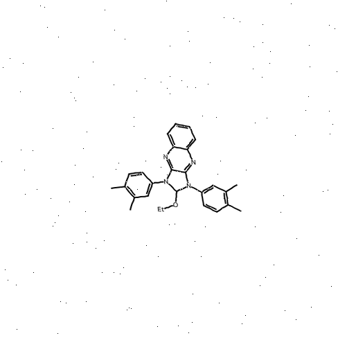 CCOC1N(c2ccc(C)c(C)c2)c2nc3ccccc3nc2N1c1ccc(C)c(C)c1